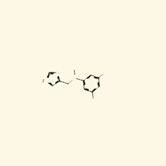 CN(Cc1c[nH]cn1)c1cc(F)cc(F)c1